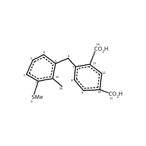 CSc1cccc(Cc2ccc(C(=O)O)cc2C(=O)O)c1C